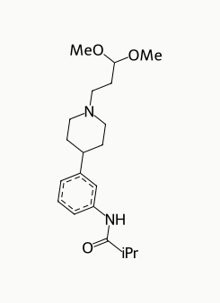 COC(CCN1CCC(c2cccc(NC(=O)C(C)C)c2)CC1)OC